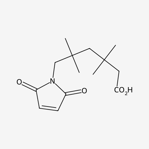 CC(C)(CC(=O)O)CC(C)(C)CN1C(=O)C=CC1=O